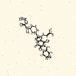 CC(C)=CCn1c(N2CCCC(NC(=O)OC(C)(C)C)C2)nc2c1c(=O)n(Cc1cccnc1)c(=O)n2C